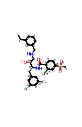 CCc1cccc(CNC[C@H](O)[C@H](Cc2cc(F)cc(F)c2)NC(=O)c2ccc(S(C)(=O)=O)cc2Cl)c1